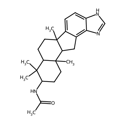 CC(=O)NC1CCC2(C)C3Cc4c(ccc5[nH]cnc45)C3(C)CCC2C1(C)C